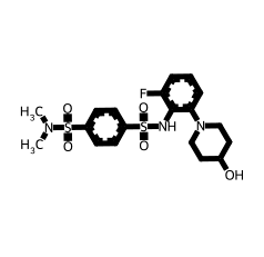 CN(C)S(=O)(=O)c1ccc(S(=O)(=O)Nc2c(F)cccc2N2CCC(O)CC2)cc1